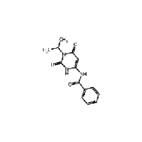 CC(C)n1c(=O)cc(NC(=O)c2ccccc2)[nH]c1=O